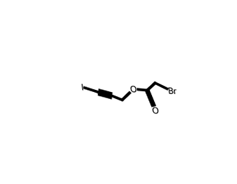 O=C(CBr)OCC#CI